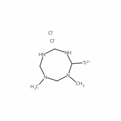 CN1CNCN[CH]([Ti+2])N(C)C1.[Cl-].[Cl-]